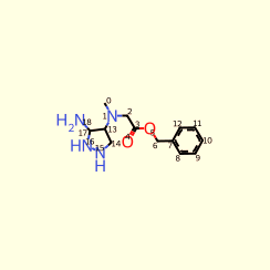 CN(CC(=O)OCc1ccccc1)C1CNNC1N